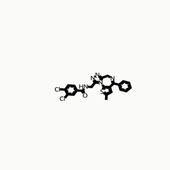 Cc1cc2c(s1)-n1c(nnc1CNC(=O)c1ccc(Cl)c(Cl)c1)CN=C2c1ccccc1